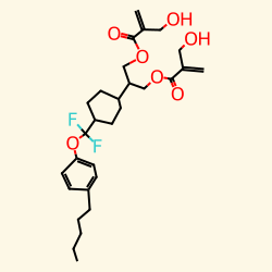 C=C(CO)C(=O)OCC(COC(=O)C(=C)CO)C1CCC(C(F)(F)Oc2ccc(CCCCC)cc2)CC1